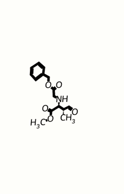 COC(=O)[C@@H](NCC(=O)OCc1ccccc1)[C@@H](C)C=O